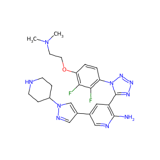 CN(C)CCOc1ccc(-n2nnnc2-c2cc(-c3cnn(C4CCNCC4)c3)cnc2N)c(F)c1F